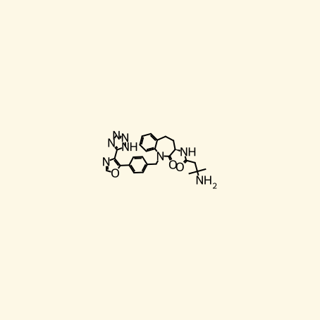 CC(C)(N)CC(=O)N[C@@H]1CCc2ccccc2N(Cc2ccc(-c3ocnc3-c3nnn[nH]3)cc2)C1=O